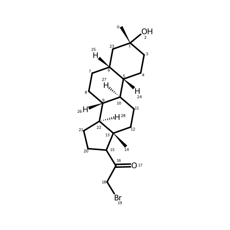 C[C@@]1(O)CC[C@H]2[C@H](CC[C@@H]3[C@@H]2CC[C@]2(C)C(C(=O)CBr)CC[C@@H]32)C1